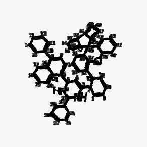 C1=CC(C2=CC(c3ccc(-c4ccccc4)c4ccccc34)NC(c3ccccc3)N2)C(c2cccc3c2Oc2ccccc2C32c3ccccc3-c3ccccc32)C=C1